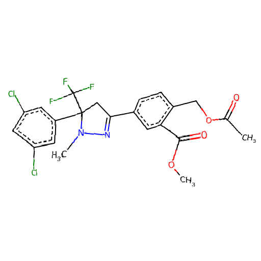 COC(=O)c1cc(C2=NN(C)C(c3cc(Cl)cc(Cl)c3)(C(F)(F)F)C2)ccc1COC(C)=O